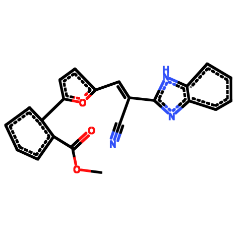 COC(=O)c1ccccc1-c1ccc(/C=C(\C#N)c2nc3ccccc3[nH]2)o1